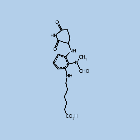 CN(C=O)c1c(NCCCCCC(=O)O)cccc1NC1CCC(=O)NC1=O